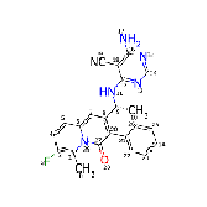 Cc1c(F)ccc2cc([C@@H](C)Nc3ncnc(N)c3C#N)c(-c3ccccc3)c(=O)n12